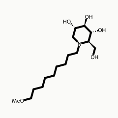 COCCCCCCCCCN1C[C@H](O)[C@@H](O)[C@H](O)[C@H]1CO